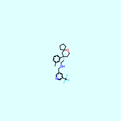 Cc1cccc([C@]2(CCNCc3cncc(C(F)(F)F)c3)CCOC3(CCCC3)C2)c1